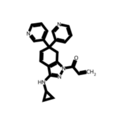 C=CC(=O)n1nc(NC2CC2)c2c1CC(c1cccnc1)(c1cccnc1)C=C2